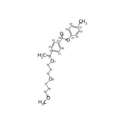 C=C(OCCCOCCCOC)c1ccc(C(=O)Oc2ccc(C)cc2)cc1